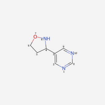 c1ncc(C2CCON2)cn1